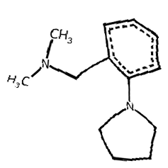 CN(C)Cc1ccccc1N1CCCC1